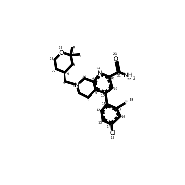 CC1(C)C[C@@H](CN2CCc3c(-c4ccc(Cl)cc4F)cc(C(N)=O)nc3C2)CCO1